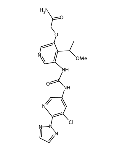 COC(C)c1c(NC(=O)Nc2cnc(-n3nccn3)c(Cl)c2)cncc1OCC(N)=O